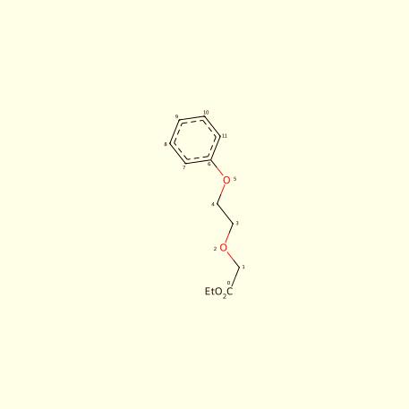 CCOC(=O)COCCOc1ccccc1